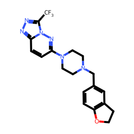 FC(F)(F)c1nnc2ccc(N3CCN(Cc4ccc5c(c4)CCO5)CC3)nn12